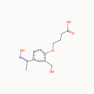 C/C(=N/O)c1ccc(OCCCC(=O)O)c(CO)c1